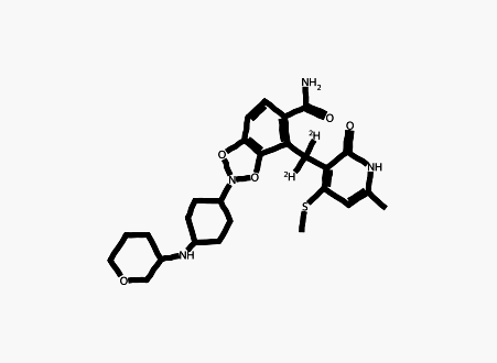 [2H]C([2H])(c1c(C(N)=O)ccc2c1ON(C1CCC(NC3CCCOC3)CC1)O2)c1c(SC)cc(C)[nH]c1=O